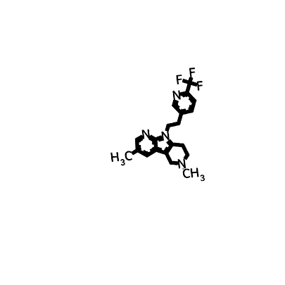 Cc1cnc2c(c1)c1c(n2CCc2ccc(C(F)(F)F)nc2)CCN(C)C1